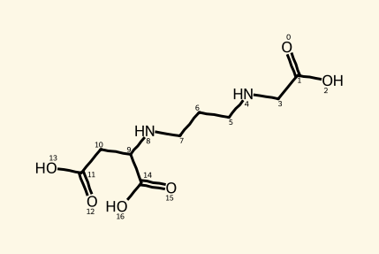 O=C(O)CNCCCNC(CC(=O)O)C(=O)O